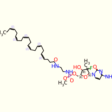 CC/C=C\C/C=C\C/C=C\C/C=C\C/C=C\C/C=C\CCC(=O)NCCNP(=O)(OC)OC[C@H]1O[C@@H](n2ccc(N)nc2=O)[C@](C)(F)[C@@H]1O